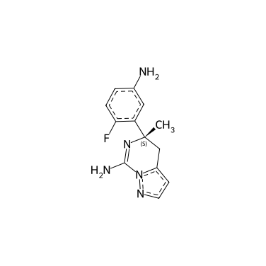 C[C@@]1(c2cc(N)ccc2F)Cc2ccnn2C(N)=N1